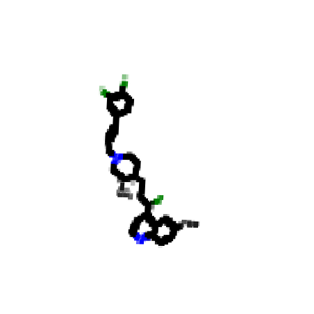 COc1ccc2nccc([C@H](F)CC[C@@H]3CCN(CC#Cc4ccc(Cl)c(F)c4)C[C@@H]3C(=O)O)c2c1